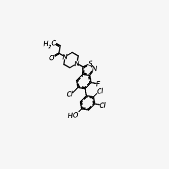 C=CC(=O)N1CCN(c2snc3c(F)c(-c4cc(O)cc(Cl)c4Cl)c(Cl)cc23)CC1